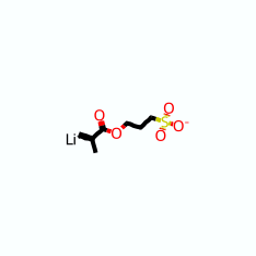 C=C(C)C(=O)OCCCS(=O)(=O)[O-].[Li+]